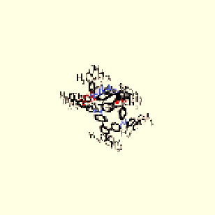 CCC(N)(CC)c1ccc(-c2cc(C(C)(C)C)ccc2-c2ccc(N(c3ccc(-c4ccc(C(C)(C)C)cc4-c4ccc(N(c5ccc(C(C)(C)C)cc5)c5ccc(C(C)(C)C)cc5)cc4)cc3)c3ccc(-c4ccc(C(C)(C)C)cc4-c4ccc(N(c5ccc(C(C)(C)C)cc5)c5ccc(C(C)(C)C)cc5)cc4)cc3)cc2)cc1